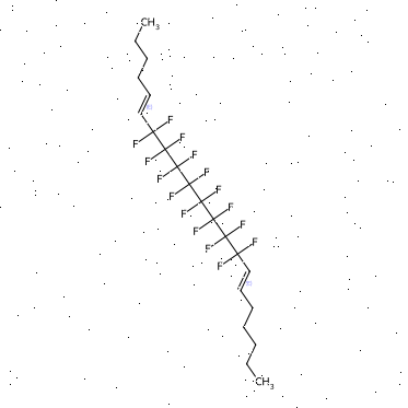 CCCC/C=C/C(F)(F)C(F)(F)C(F)(F)C(F)(F)C(F)(F)C(F)(F)C(F)(F)C(F)(F)/C=C/CCCCC